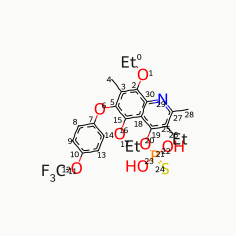 CCOc1c(C)c(Oc2ccc(OC(F)(F)F)cc2)c(OCC)c2c(OP(O)(O)=S)c(CC)c(C)nc12